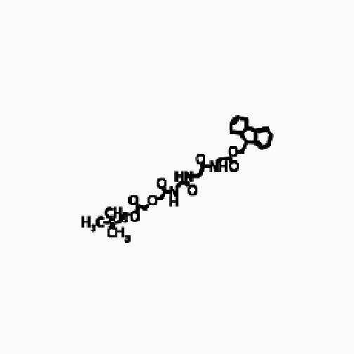 CS(C)(C)CCOC(=O)COCC(=O)NCC(=O)NCC(=O)NCC(=O)OCC1c2ccccc2-c2ccccc21